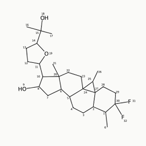 CC1C2CCC3C4CC(O)C(C5CCC(C(C)(C)O)O5)C4(C)CCC34C(C)C24CCC1(F)F